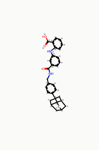 O=C(NCc1ccc(C23CC4CC5CC(C2)C43C5)cc1)c1cccc(Nc2ccccc2C(=O)O)c1